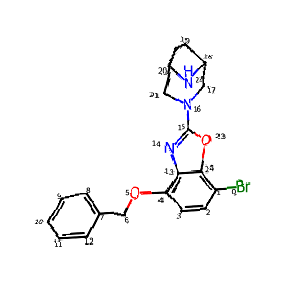 Brc1ccc(OCc2ccccc2)c2nc(N3CC4CC(C3)N4)oc12